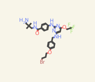 CC(C)(CN)CNC(=O)c1ccc(Nc2nc(NCc3ccc(OCCCBr)cc3)cc(OCC(F)(F)F)n2)cc1